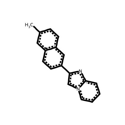 Cc1ccc2cc(-c3cn4ccccc4n3)ccc2c1